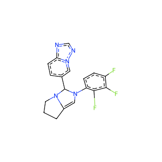 Fc1ccc(N2C=C3CCCN3C2c2ccc3ncnn3c2)c(F)c1F